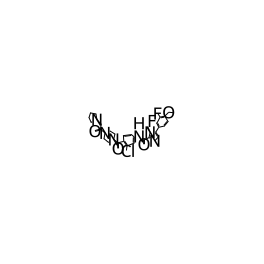 COc1ccc(-c2cnc(C(=O)Nc3ccc(C(=O)N4CCN(C(=O)CN5CCCC5)CC4)c(Cl)c3)n2C)c(F)c1F